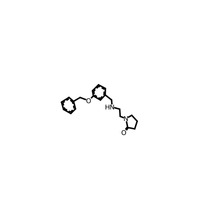 O=C1CCCN1CCNCc1cccc(OCc2ccccc2)c1